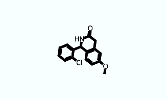 COc1ccc2c(c1)CC(=O)NC2c1ccccc1Cl